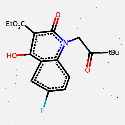 CCOC(=O)c1c(O)c2cc(F)ccc2n(CC(=O)C(C)(C)C)c1=O